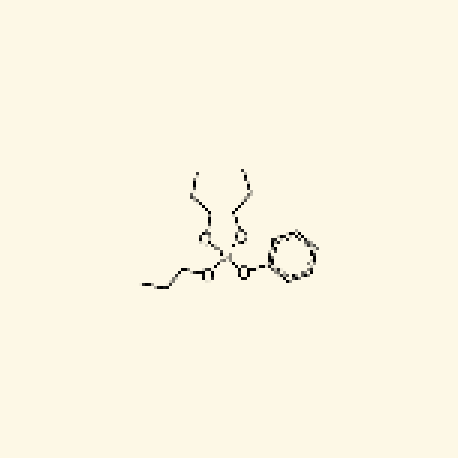 CCCO[Si](OCCC)(OCCC)Oc1ccccc1